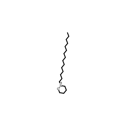 CCCCCCCCCCCCCCC[SiH]1CCCCO1